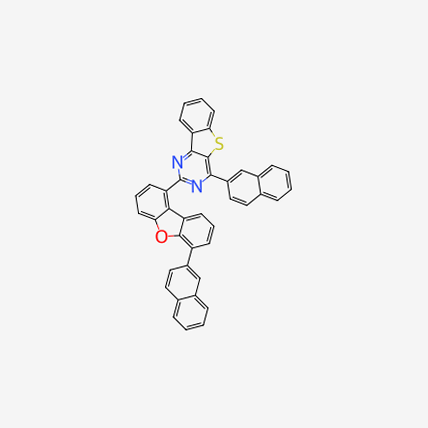 c1ccc2cc(-c3cccc4c3oc3cccc(-c5nc(-c6ccc7ccccc7c6)c6sc7ccccc7c6n5)c34)ccc2c1